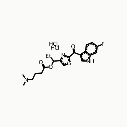 CCC(OC(=O)CCCN(C)C)c1csc(C(=O)c2c[nH]c3cc(F)ccc23)n1.Cl.Cl